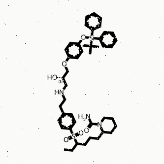 CCC(CCCC1CCCCN1C(N)=O)S(=O)(=O)c1ccc(CCNC[C@H](O)COc2ccc(O[Si](c3ccccc3)(c3ccccc3)C(C)(C)C)cc2)cc1